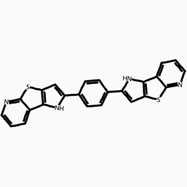 c1cnc2sc3cc(-c4ccc(-c5cc6sc7ncccc7c6[nH]5)cc4)[nH]c3c2c1